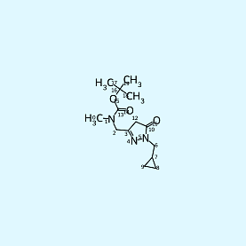 CN(CC1=NN(CC2CC2)C(=O)C1)C(=O)OC(C)(C)C